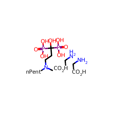 CCCCCN(C)CCC(O)(P(=O)(O)O)P(=O)(O)O.NCC(=O)O.NCC(=O)O